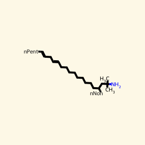 CCCCCC=CCC=CCCCCCCCCCC(CCCCCCCCC)CC(C)(C)N